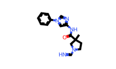 CC1(C(=O)Nc2cn(-c3ccccc3)cn2)CCN(C=N)C1